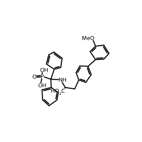 COc1cccc(-c2ccc(C[C@H](NC(c3ccccc3)(c3ccccc3)P(=O)(O)O)C(=O)O)cc2)c1